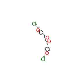 O=C(C=Cc1ccc(OCCCCl)cc1)CC(=O)C=Cc1ccc(OCCCCl)cc1